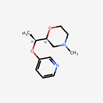 C[C@H](Oc1cccnc1)[C@@H]1CN(C)CCO1